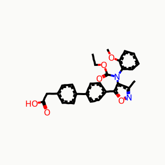 CCOC(=O)N(c1ccccc1OC)c1c(C)noc1-c1ccc(-c2ccc(CC(=O)O)cc2)cc1